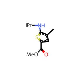 COC(=O)c1cc(C)c(NC(C)C)s1